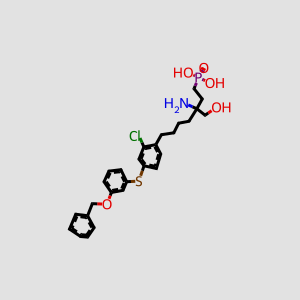 NC(CO)(CCCCc1ccc(Sc2cccc(OCc3ccccc3)c2)cc1Cl)CCP(=O)(O)O